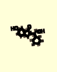 O=C1c2cc(O)ccc2CN1[C@H](CO)C1CCCCC1